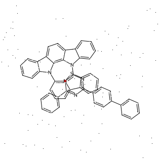 c1ccc(-c2ccc(-c3nc(-c4ccccc4)nc(-n4c5ccccc5c5ccc6c7ccccc7n(-c7cccc8c7sc7ccccc78)c6c54)n3)cc2)cc1